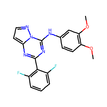 COc1ccc(Nc2nc(-c3c(F)cccc3F)nc3ccnn23)cc1OC